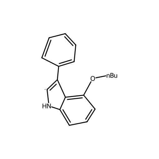 CCCCOc1cccc2[nH][c]c(-c3ccccc3)c12